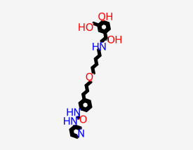 O=C(Nc1cccnc1)Nc1cccc(CCCCOCCCCCCNC[C@@H](O)c2ccc(O)c(CO)c2)c1